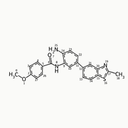 COc1ccc(C(=O)Nc2cc(-c3ccc4sc(C)nc4c3)ccc2N)cc1